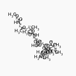 COCC(=O)NCCC(C)OCCC(C)(C)OC(=O)NCCOP(=O)(O)OCC(COC(=O)C(C)(C)CC(C)C)OC(=O)C(C)(C)CC(C)(C)N